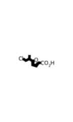 CC(CCl)c1ccc(C(=O)O)o1